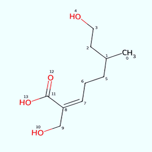 CC(CCO)CC/C=C(/CO)C(=O)O